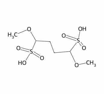 COC(CCC(OC)S(=O)(=O)O)S(=O)(=O)O